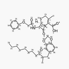 CC1=C(C(=O)O)N2C(=O)C(NC(=O)COc3ccccc3)[C@H]2SC1.CCCCCCCC[S+]([O-])C(C)Cc1ccc2c(c1)OCO2